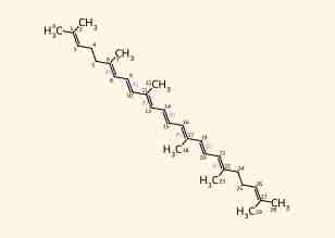 CC(C)=CCC/C(C)=C/C=C/C(C)=C/C=C/C=C(C)/C=C/C=C(\C)CCC=C(C)C